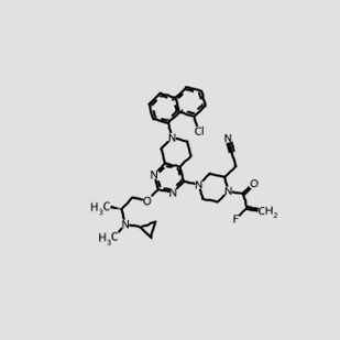 C=C(F)C(=O)N1CCN(c2nc(OC[C@H](C)N(C)C3CC3)nc3c2CCN(c2cccc4cccc(Cl)c24)C3)CC1CC#N